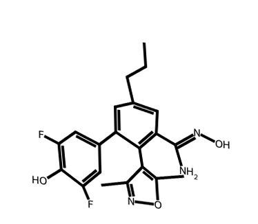 CCCc1cc(/C(N)=N/O)c(-c2c(C)noc2C)c(-c2cc(F)c(O)c(F)c2)c1